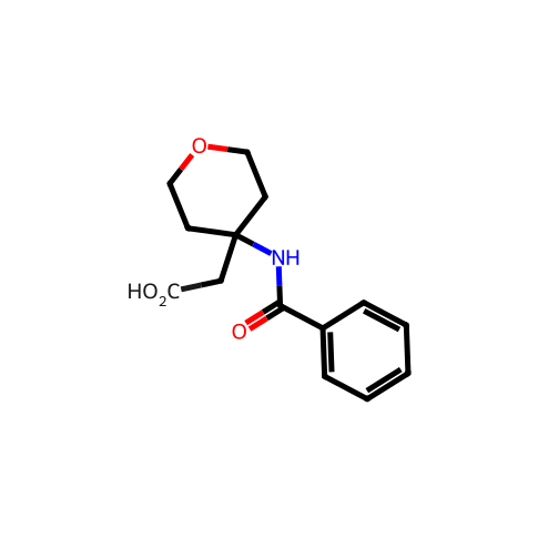 O=C(O)CC1(NC(=O)c2ccccc2)CCOCC1